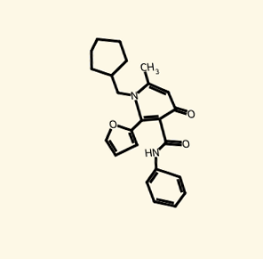 Cc1cc(=O)c(C(=O)Nc2ccccc2)c(-c2ccco2)n1CC1CCCCC1